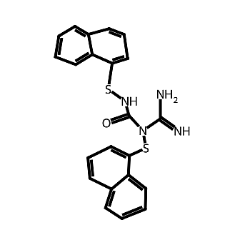 N=C(N)N(Sc1cccc2ccccc12)C(=O)NSc1cccc2ccccc12